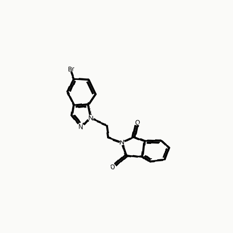 O=C1c2ccccc2C(=O)N1CCn1ncc2cc(Br)ccc21